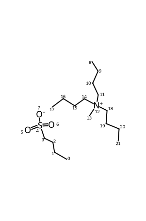 CCCCS(=O)(=O)[O-].CCCC[N+](C)(CCCC)CCCC